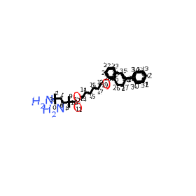 CC(C)(N)CC(N)C(C)(C)C(=O)OCCCCCCOc1cccc2c1CCC(c1ccccc1)=C2